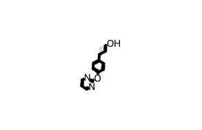 O/C=C/Cc1ccc(Oc2ncccn2)cc1